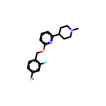 CN1CCC(c2cccc(OCc3ccc(C#N)cc3F)n2)CC1